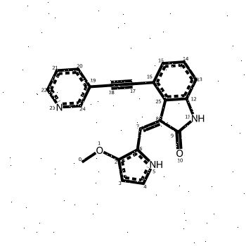 COc1cc[nH]c1/C=C1\C(=O)Nc2cccc(C#Cc3cccnc3)c21